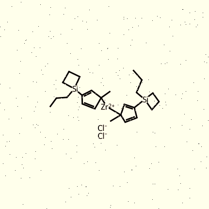 CCC[Si]1(C2=C[C](C)([Zr+2][C]3(C)C=CC([Si]4(CCC)CCC4)=C3)C=C2)CCC1.[Cl-].[Cl-]